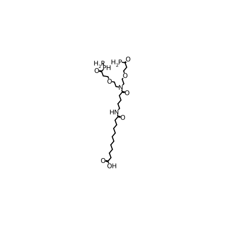 O=C(O)CCCCCCCCCCC(=O)NCCCCC(=O)N(CCOCCC(=O)P)CCOCCC(=O)PP